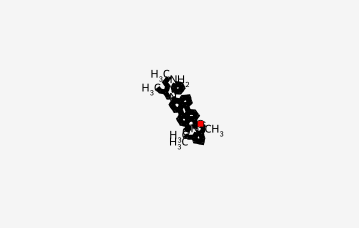 CCCCC(CC)CN(c1cccc(N)c1)c1ccc2c3ccc4c5c(ccc(c6cccc1c62)c53)C(=O)N(c1c(C(C)C)cccc1C(C)C)C4=O